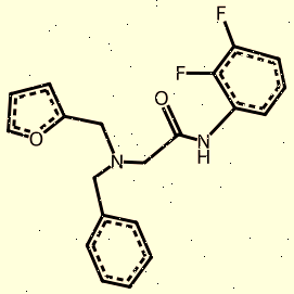 O=C(CN(Cc1ccccc1)Cc1ccco1)Nc1cccc(F)c1F